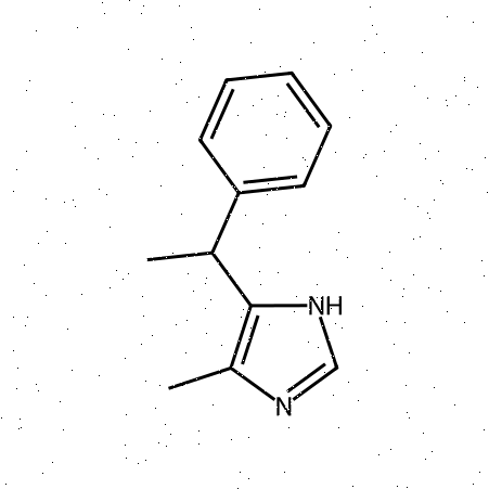 Cc1nc[nH]c1C(C)c1ccccc1